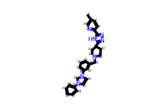 Cc1ccc(-c2nnc(C3CCN(Cc4cccc(N5C=CN(c6ccccc6)C5)c4)CC3)[nH]2)nc1